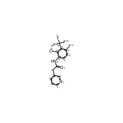 O=C(Cc1cccnc1)Nc1ccc(F)c(C(F)(F)F)c1Cl